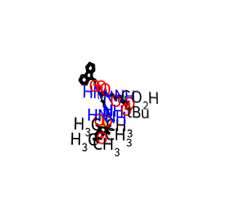 Cc1c(C)c(S(=O)(=O)NC(=N)NCCC[C@H](NC(=O)OCC2c3ccccc3-c3ccccc32)C(=O)NCC(=O)N[C@@H](CC(=O)OC(C)(C)C)C(=O)O)c(C)c2c1OC(C)(C)C2